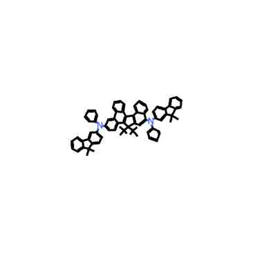 CC1(C)c2ccccc2-c2cc(N(c3ccccc3)c3ccc4c5c(c6ccccc6c4c3)-c3c(cc(N(c4ccccc4)c4ccc6c(c4)C(C)(C)c4ccccc4-6)c4ccccc34)C5(C(C)(C)C)C(C)(C)C)ccc21